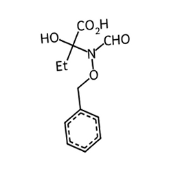 CCC(O)(C(=O)O)N(C=O)OCc1ccccc1